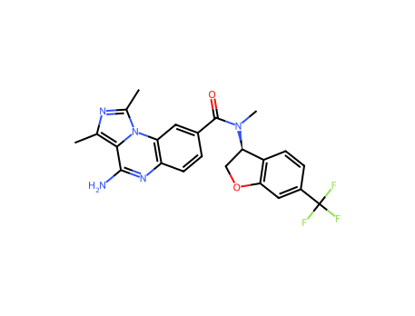 Cc1nc(C)n2c1c(N)nc1ccc(C(=O)N(C)[C@@H]3COc4cc(C(F)(F)F)ccc43)cc12